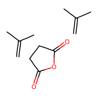 C=C(C)C.C=C(C)C.O=C1CCC(=O)O1